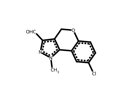 Cn1nc(C=O)c2c1-c1cc(Cl)ccc1OC2